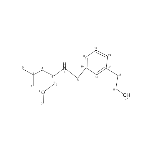 COC[C@H](CC(C)C)NCc1cccc(CCO)c1